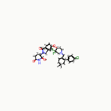 CC1(C)CCC(CN2CC[C@H](Oc3ccc4c(c3)CN(C3CCC(=O)NC3=O)C4=O)C(F)(F)C2)=C(c2ccc(Cl)cc2)C1